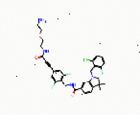 CC1(C)CN(Cc2c(F)cccc2Cl)c2cc(C(=O)NCc3c(F)cc(C#CC(=O)NCCOCCN)cc3F)ccc21